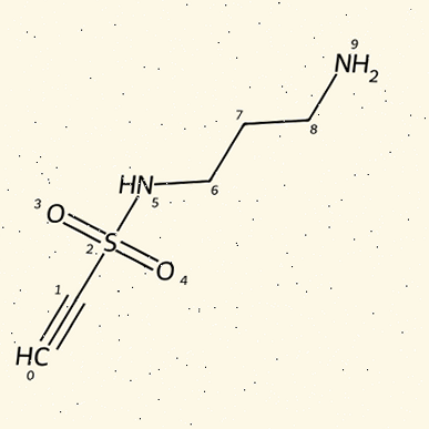 C#CS(=O)(=O)NCCCN